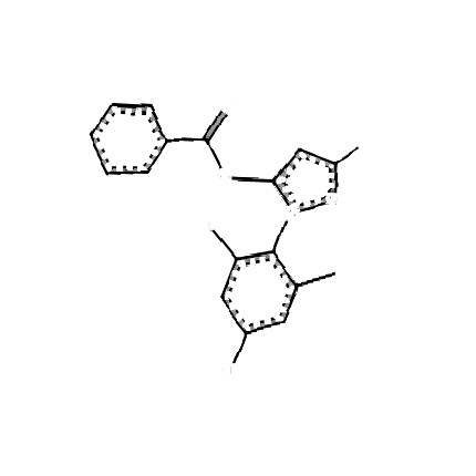 Cc1cc(OC(=O)c2ccccc2)n(-c2c(Cl)cc(Cl)cc2Cl)n1